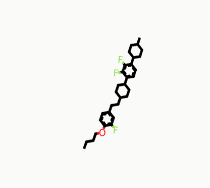 CCCCOc1ccc(CCC2CCC(c3ccc(C4CCC(C)CC4)c(F)c3F)CC2)cc1F